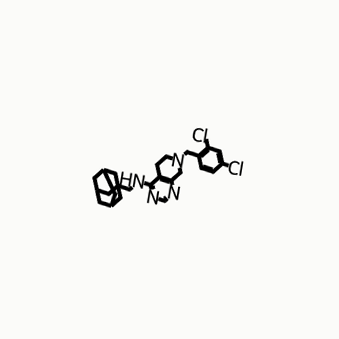 Clc1ccc(CN2CCc3c(ncnc3NCC34CC5CC(CC(C5)C3)C4)C2)c(Cl)c1